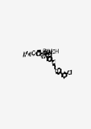 COc1ccc(S(=O)(=O)C(C)(Cc2ccc(OCCCN3CCC(c4cccc(Cl)c4)CC3)cc2)C(=O)NO)cc1